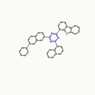 c1ccc(-c2ccc3ccc(-c4nc(-c5cccc6ccccc56)nc(-c5cccc6c5sc5ccccc56)n4)cc3c2)cc1